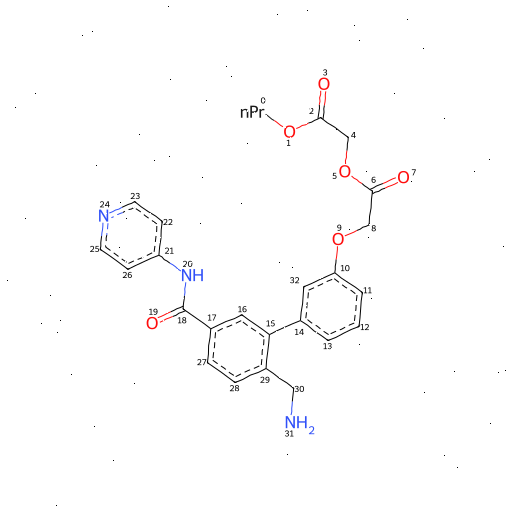 CCCOC(=O)COC(=O)COc1cccc(-c2cc(C(=O)Nc3ccncc3)ccc2CN)c1